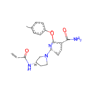 C=CC(=O)N[C@H]1CCN(c2ccc(C(N)=O)c(Oc3ccc(C)cc3)n2)C1